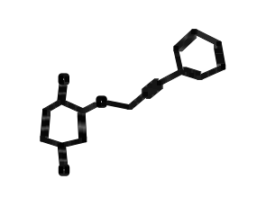 O=C1C=CC(=O)C(OCC#Cc2ccccc2)=C1